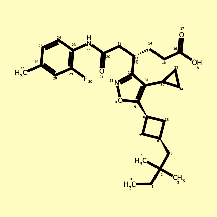 CCC(C)(C)C[C@H]1C[C@@H](c2onc([C@@H](CCC(=O)O)CC(=O)Nc3ccc(C)cc3F)c2C2CC2)C1